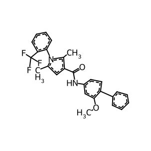 COc1cc(NC(=O)c2cc(C)n(-c3ccccc3C(F)(F)F)c2C)ccc1-c1ccccc1